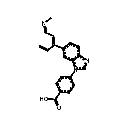 C=C/C(=C\C=N/C)c1ccc2ncn(-c3ccc(C(=O)O)cc3)c2c1